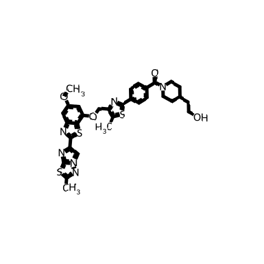 COc1cc(OCc2nc(-c3ccc(C(=O)N4CCC(CCO)CC4)cc3)sc2C)c2sc(-c3cn4nc(C)sc4n3)nc2c1